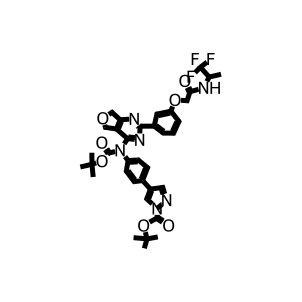 CC(NC(=O)COc1cccc(-c2nc3c(c(N(C(=O)OC(C)(C)C)c4ccc(-c5cnn(C(=O)OC(C)(C)C)c5)cc4)n2)COC3)c1)C(F)(F)F